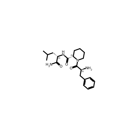 CC(C)C[C@H](NC(=O)[C@@H]1CCCCN1C(=O)[C@@H](N)Cc1ccccc1)C(N)=O